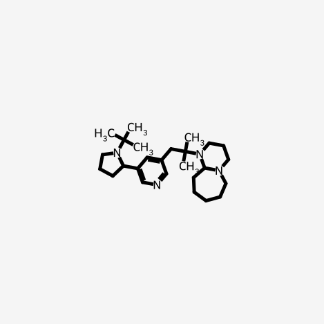 CC(C)(C)N1CCCC1c1cncc(CC(C)(C)N2CCCN3CCCCCC32)c1